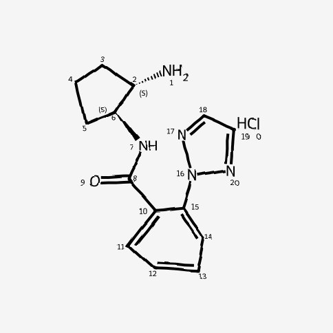 Cl.N[C@H]1CCC[C@@H]1NC(=O)c1ccccc1-n1nccn1